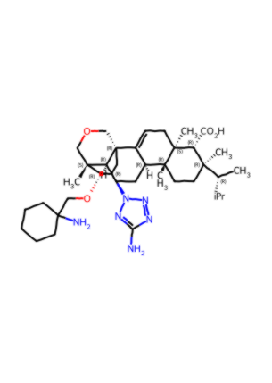 CC(C)[C@@H](C)[C@@]1(C)CC[C@]2(C)[C@H]3CC[C@@H]4[C@@]5(COC[C@@]4(C)[C@@H](OCC4(N)CCCCC4)[C@H](n4nnc(N)n4)C5)C3=CC[C@@]2(C)[C@@H]1C(=O)O